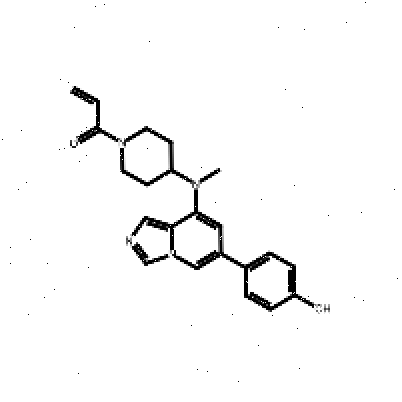 C=CC(=O)N1CCC(N(C)c2cc(-c3ccc(O)cc3)cn3cncc23)CC1